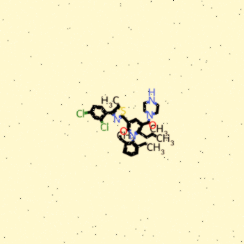 CCc1cccc(CC)c1-n1c(CC(C)C)c(C(=O)N2CCNCC2)cc(-c2nc(-c3ccc(Cl)cc3Cl)c(C)s2)c1=O